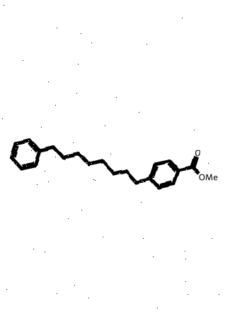 COC(=O)c1ccc(CCCCCCCCc2ccccc2)cc1